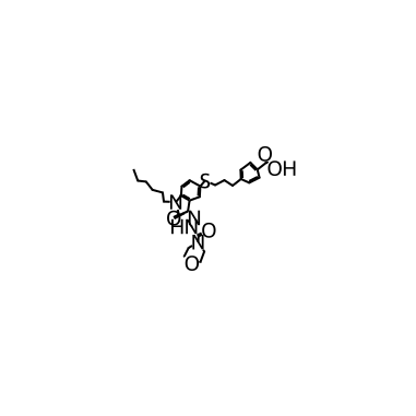 CCCCCCN1C(=O)/C(=N\NC(=O)N2CCOCC2)c2cc(SCCCc3ccc(C(=O)O)cc3)ccc21